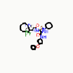 O=C(NC1SN(C2CCCCCCC2)NC1C(=O)Nc1ccc(Oc2ccccc2)cc1)C1CNC2(CCCCCCCCC2)C(C(F)(F)F)C1